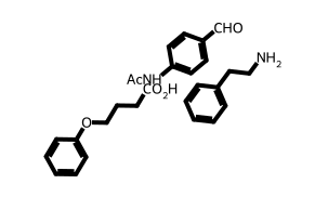 CC(=O)Nc1ccc(C=O)cc1.NCCc1ccccc1.O=C(O)CCCOc1ccccc1